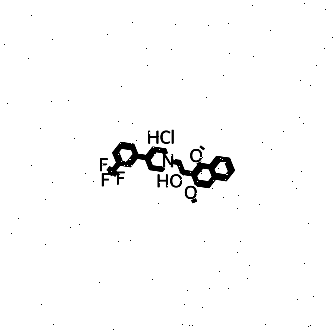 COc1cc2ccccc2c(OC)c1C(O)CN1CC=C(c2cccc(C(F)(F)F)c2)CC1.Cl